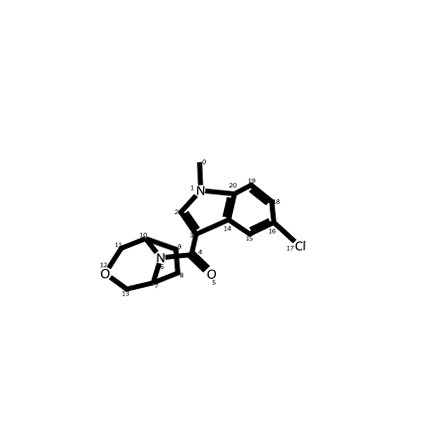 Cn1cc(C(=O)N2C3CCC2COC3)c2cc(Cl)ccc21